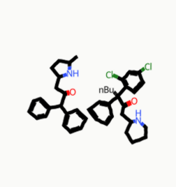 CC1CCC(CC(=O)C(c2ccccc2)c2ccccc2)N1.CCCCC(C(=O)CC1CCCCN1)(c1ccccc1)c1ccc(Cl)cc1Cl